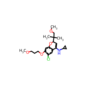 COCCCOc1cc2c(cc1Cl)C(NC1CC1)=CC(C(C)(C)COC)O2